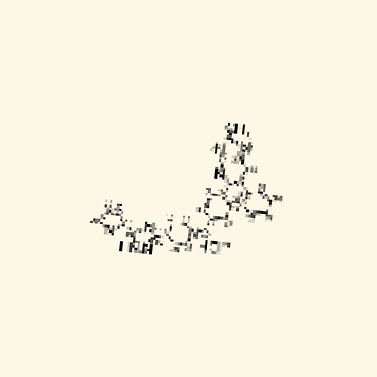 Cc1nc2nc(-c3ccc(CN4CCC(c5n[nH]c(-c6nccs6)n5)CC4)cc3)c(-c3ccccc3)cn2n1.Cl